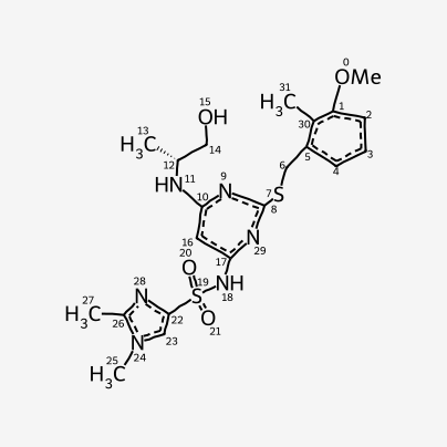 COc1cccc(CSc2nc(N[C@H](C)CO)cc(NS(=O)(=O)c3cn(C)c(C)n3)n2)c1C